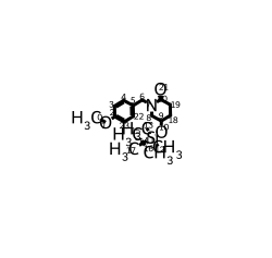 COc1ccc(CN2CC(O[Si](C)(C)C(C)(C)C)CCC2=O)cc1